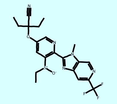 CC[S+]([O-])c1cc(OC(C#N)(CC)CC)cnc1-c1nc2cc(C(F)(F)F)ncc2n1C